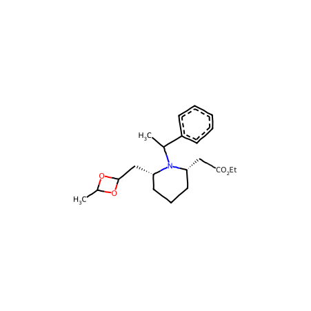 CCOC(=O)C[C@@H]1CCC[C@H](CC2OC(C)O2)N1C(C)c1ccccc1